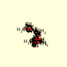 COc1ccc(CN(Cc2ccc(OC)cc2)c2cc(-c3nc4c5c(c3F)NC(OC)N=C5N3C[C@H]5CC[C@@H]([C@H]3[C@H](C)O4)N5C(=O)OC(C)(C)C)c(C(F)(F)F)c(C)c2F)cc1